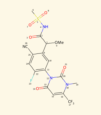 COC(C(=O)NS(C)(=O)=O)c1cc(-n2c(=O)cc(C(F)(F)F)n(C)c2=O)c(F)cc1C#N